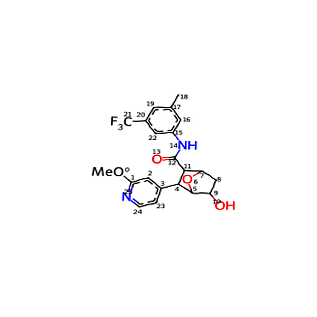 COc1cc(C2C3OC(CC3O)C2C(=O)Nc2cc(C)cc(C(F)(F)F)c2)ccn1